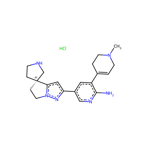 CN1CC=C(c2cc(-c3cc4n(n3)CC[C@@]43CCNC3)cnc2N)CC1.Cl